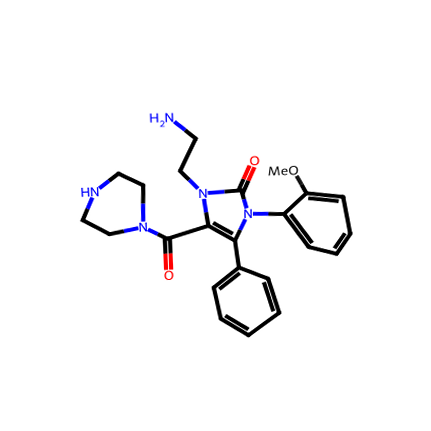 COc1ccccc1-n1c(-c2ccccc2)c(C(=O)N2CCNCC2)n(CCN)c1=O